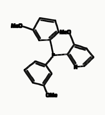 COc1cccc(P(c2cccc(OC)c2)c2ncccc2OC)c1